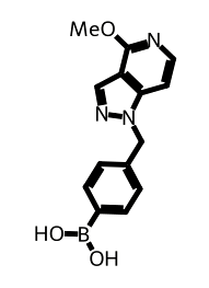 COc1nccc2c1cnn2Cc1ccc(B(O)O)cc1